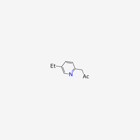 CCc1ccc(CC(C)=O)nc1